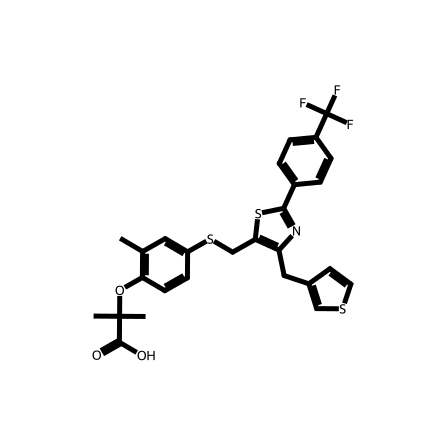 Cc1cc(SCc2sc(-c3ccc(C(F)(F)F)cc3)nc2Cc2ccsc2)ccc1OC(C)(C)C(=O)O